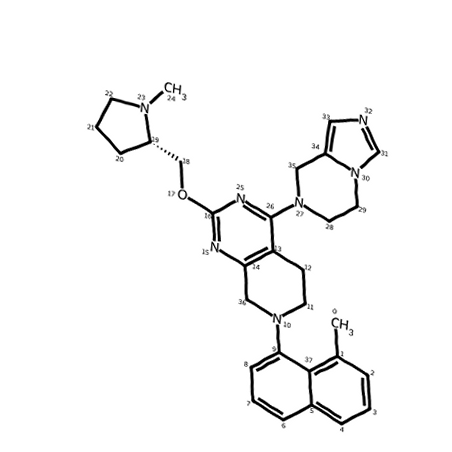 Cc1cccc2cccc(N3CCc4c(nc(OC[C@@H]5CCCN5C)nc4N4CCn5cncc5C4)C3)c12